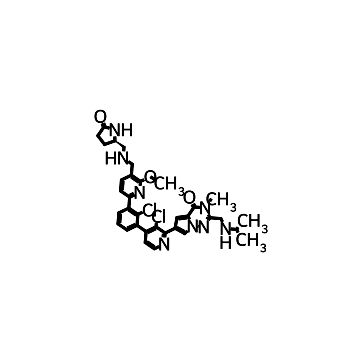 COc1nc(-c2cccc(-c3ccnc(-c4cc5c(=O)n(C)c(CNC(C)C)nn5c4)c3Cl)c2Cl)ccc1CNC[C@H]1CCC(=O)N1